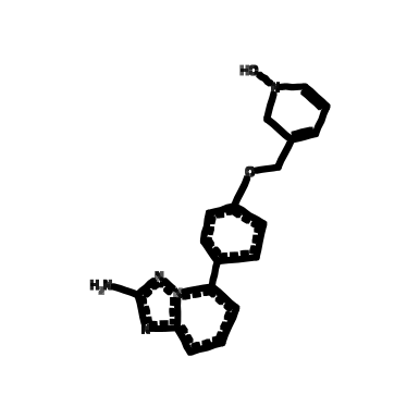 Nc1nc2cccc(-c3ccc(OCC4=CC=CN(O)C4)cc3)n2n1